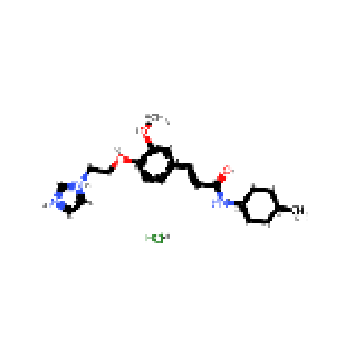 COc1cc(/C=C/C(=O)NC2CCC(C)CC2)ccc1OCCn1ccnc1.Cl